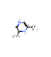 CC(C)c1[c]ncc(C(F)(F)F)n1